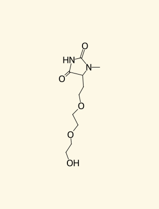 CN1C(=O)NC(=O)C1CCOCCOCCO